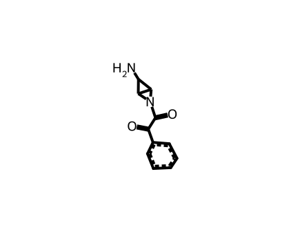 NC1C2C1N2C(=O)C(=O)c1ccccc1